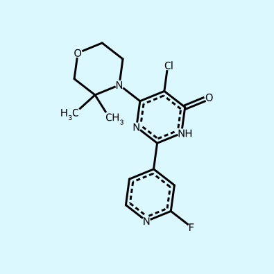 CC1(C)COCCN1c1nc(-c2ccnc(F)c2)[nH]c(=O)c1Cl